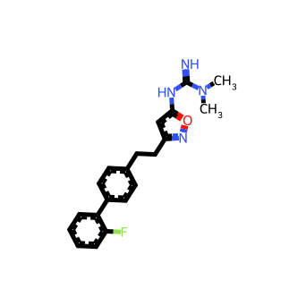 CN(C)C(=N)Nc1cc(CCc2ccc(-c3ccccc3F)cc2)no1